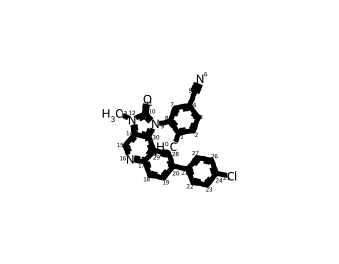 Cc1ccc(C#N)cc1-n1c(=O)n(C)c2cnc3ccc(-c4ccc(Cl)cc4)cc3c21